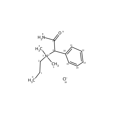 CCC[N+](C)(C)C(C(N)=O)c1ccccc1.[Cl-]